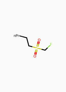 CCCCCS(=O)(=O)CF